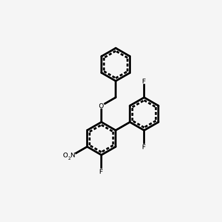 O=[N+]([O-])c1cc(OCc2ccccc2)c(-c2cc(F)ccc2F)cc1F